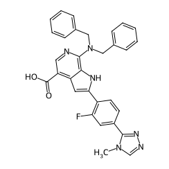 Cn1cnnc1-c1ccc(-c2cc3c(C(=O)O)cnc(N(Cc4ccccc4)Cc4ccccc4)c3[nH]2)c(F)c1